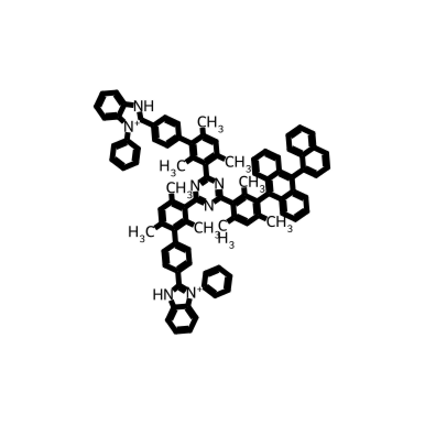 Cc1cc(C)c(-c2nc(-c3c(C)cc(C)c(-c4ccc(-c5[nH]c6ccccc6[n+]5-c5ccccc5)cc4)c3C)nc(-c3c(C)cc(C)c(-c4c5ccccc5c(-c5cccc6ccccc56)c5ccccc45)c3C)n2)c(C)c1-c1ccc(-c2[nH]c3ccccc3[n+]2-c2ccccc2)cc1